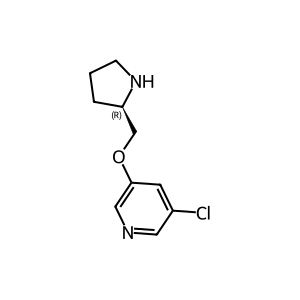 Clc1cncc(OC[C@H]2CCCN2)c1